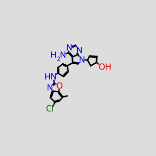 Cc1cc(Cl)cc2nc(Nc3ccc(-c4cn(C5C=CC(O)C5)c5ncnc(N)c45)cc3)oc12